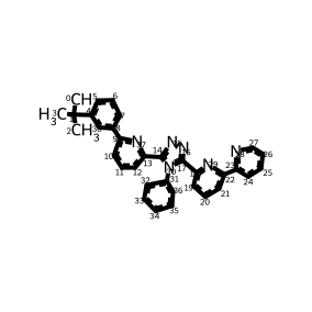 CC(C)(C)c1cccc(-c2cccc(-c3nnc(-c4cccc(-c5ccccn5)n4)n3-c3ccccc3)n2)c1